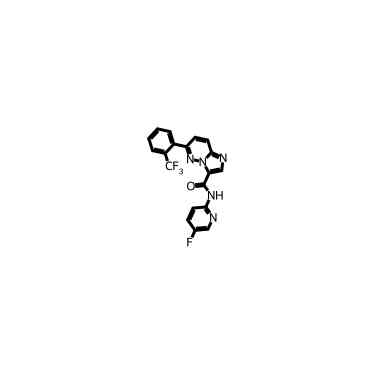 O=C(Nc1ccc(F)cn1)c1cnc2ccc(-c3ccccc3C(F)(F)F)nn12